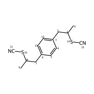 CC(Cc1ccc(CC(C)SC#N)cc1)SC#N